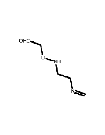 C=NCCNOCC=O